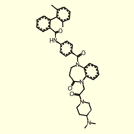 Cc1cccc(C)c1-c1ccccc1C(=O)Nc1ccc(C(=O)N2CCC(=O)N(CC(=O)N3CCC(N(C)C)CC3)c3ccccc32)cc1